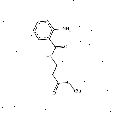 CC(C)(C)OC(=O)CCNC(=O)c1cccnc1N